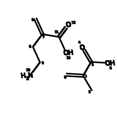 C=C(C)C(=O)O.C=C(CCN)C(=O)O